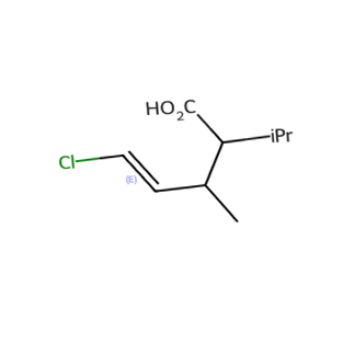 CC(C)C(C(=O)O)C(C)/C=C/Cl